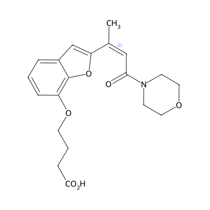 C/C(=C/C(=O)N1CCOCC1)c1cc2cccc(OCCCC(=O)O)c2o1